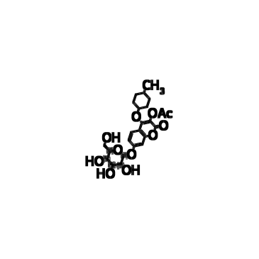 CC(=O)Oc1c(OC2CCC(C)CC2)c2ccc(O[C@H]3O[C@H](CO)[C@@H](O)[C@H](O)[C@@H]3O)cc2oc1=O